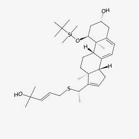 C[C@H](SC/C=C/C(C)(C)O)C1=CC[C@H]2C3=CC=C4C[C@@H](O)C[C@H](O[Si](C)(C)C(C)(C)C)[C@]4(C)[C@H]3CC[C@]12C